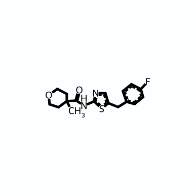 CC1(C(=O)Nc2ncc(Cc3ccc(F)cc3)s2)CCOCC1